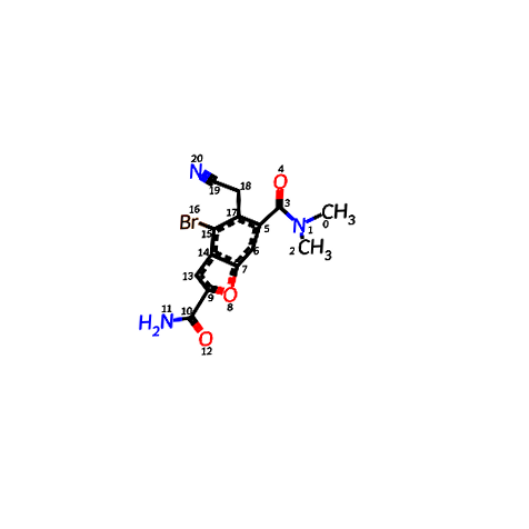 CN(C)C(=O)c1cc2oc(C(N)=O)cc2c(Br)c1CC#N